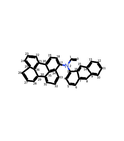 C=CN(c1cccc2cc3ccccc3cc12)c1ccc2c3cccc4cccc(c5cccc1c52)c43